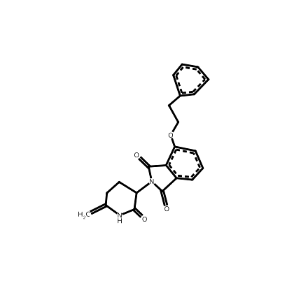 C=C1CCC(N2C(=O)c3cccc(OCCc4ccccc4)c3C2=O)C(=O)N1